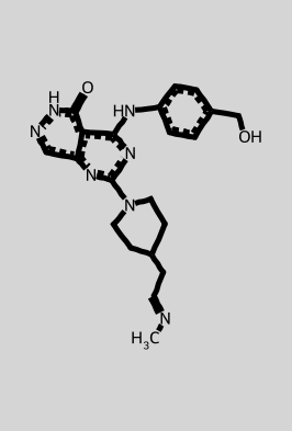 C/N=C/CC1CCN(c2nc(Nc3ccc(CO)cc3)c3c(=O)[nH]ncc3n2)CC1